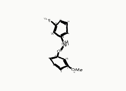 COc1cccc(ONc2cccc(F)c2)c1